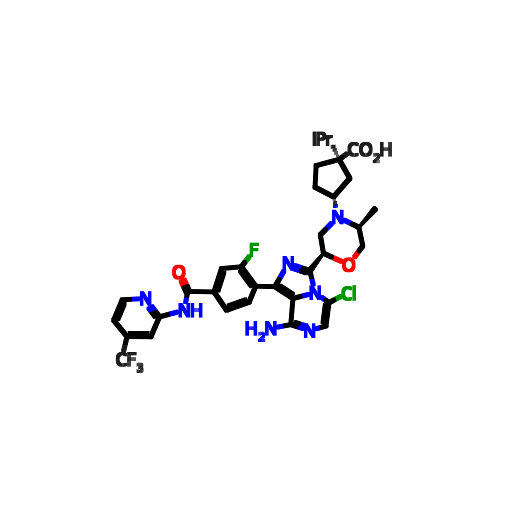 CC(C)[C@@]1(C(=O)O)CC[C@@H](N2C[C@H](c3nc(-c4ccc(C(=O)Nc5cc(C(F)(F)F)ccn5)cc4F)c4c(N)ncc(Cl)n34)OC[C@@H]2C)C1